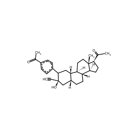 C#C[C@@]1(O)C[C@H]2CC[C@@H]3[C@H](CC[C@]4(C)[C@@H](C(C)=O)CC[C@@H]34)[C@H]2CC1c1ccc(C(C)=O)cc1